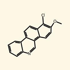 COc1ccc2c(ccc3c4ccccc4ncc23)c1Cl